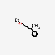 [CH2]COCCCCC(C)c1ccccc1